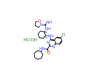 Cl.Cl.N=C(N[C@@H]1CCCC[C@@H]1Nc1nc(C(=O)NC2CCCCCC2)nc2ccc(Cl)cc12)N1CCCO1